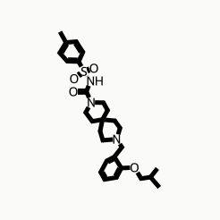 Cc1ccc(S(=O)(=O)NC(=O)N2CCC3(CCN(Cc4ccccc4OCC(C)C)CC3)CC2)cc1